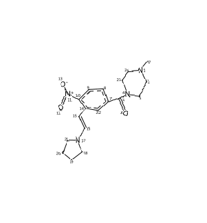 CN1CCN(C(=O)c2ccc([N+](=O)[O-])c(C=CN3CCCC3)c2)CC1